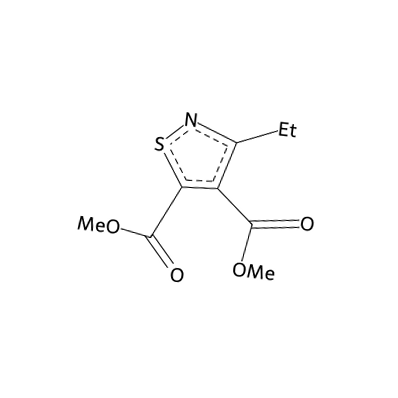 CCc1nsc(C(=O)OC)c1C(=O)OC